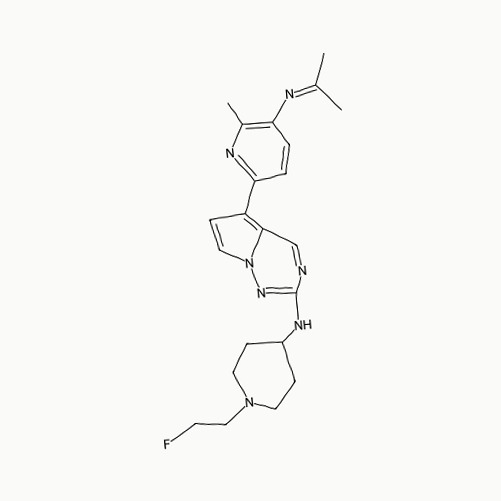 CC(C)=Nc1ccc(-c2ccn3nc(NC4CCN(CCF)CC4)ncc23)nc1C